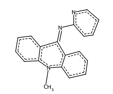 Cn1c2ccccc2c(=Nc2ccccn2)c2ccccc21